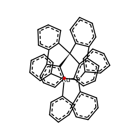 c1ccc(P(c2ccccc2)c2cccc3c2[C@@]2(c4ccccc4-3)c3ccccc3-c3ccc[c]([Ru]([c]4ccccc4)[c]4ccccc4)c32)cc1